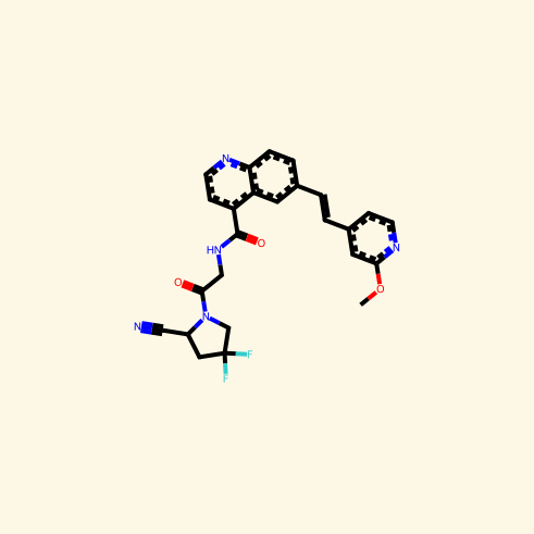 COc1cc(C=Cc2ccc3nccc(C(=O)NCC(=O)N4CC(F)(F)CC4C#N)c3c2)ccn1